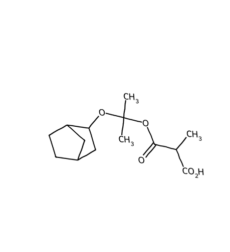 CC(C(=O)O)C(=O)OC(C)(C)OC1CC2CCC1C2